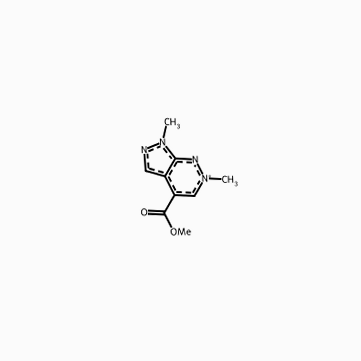 COC(=O)c1c[n+](C)nc2c1cnn2C